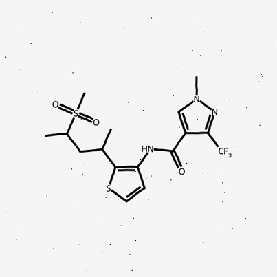 CC(CC(C)S(C)(=O)=O)c1sccc1NC(=O)c1cn(C)nc1C(F)(F)F